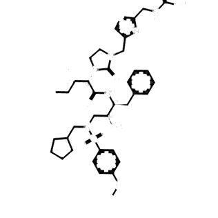 CC[C@H](C)[C@@H](C(=O)N[C@@H](Cc1ccccc1)[C@@H](O)CN(CC1CCCC1)S(=O)(=O)c1ccc(OC)cc1)N1CCN(Cc2csc(CNC(=O)O)n2)C1=O